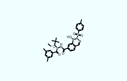 CC[C@@H](N(NC(=O)c1ccc2c(c1)B(O)N(S(=O)(=O)c1ccc(C)cc1)N=C2)C(=O)c1cc(C)cc(C)c1)C(C)(C)C